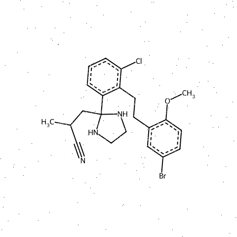 COc1ccc(Br)cc1CCc1c(Cl)cccc1C1(CC(C)C#N)NCCN1